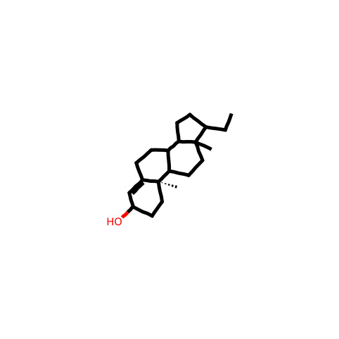 CCC1CCC2C3CCC4=CC(O)CC[C@]4(C)C3CCC12C